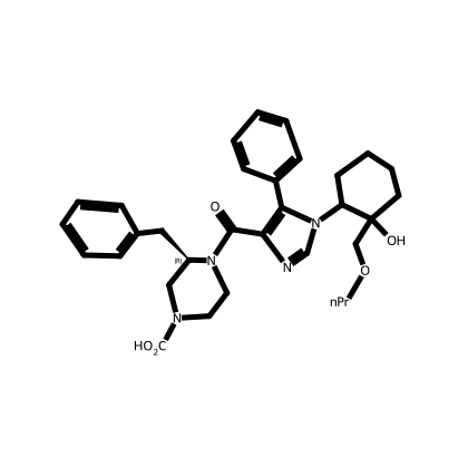 CCCOCC1(O)CCCCC1n1cnc(C(=O)N2CCN(C(=O)O)C[C@H]2Cc2ccccc2)c1-c1ccccc1